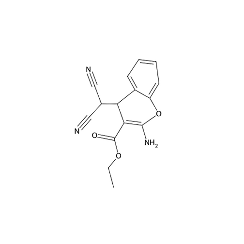 CCOC(=O)C1=C(N)Oc2ccccc2C1C(C#N)C#N